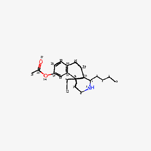 CCCCC1NCCC2(CC)c3cc(OC(C)=O)ccc3CCC12